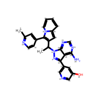 Cc1cc(-c2c(C(C)n3nc(-c4cncc(O)c4)c4c(N)ncnc43)cc3ccccn23)ccn1